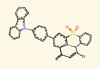 C=C1C=C(CC)C2c3ccccc3S(=O)(=O)c3cc(-c4ccc(-n5c6ccccc6c6ccccc65)cc4)cc1c32